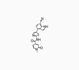 Cn1ccc(C(=O)Nc2ncc(-c3ccc(C#N)c4[nH]ccc34)s2)cc1=O